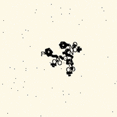 Cc1cc(C[C@H]2CN(C(=O)OC(C)(C)C)C[C@@H]2OCCN(CCc2cccc(F)c2)C(=O)OC(C)(C)C)nc(N(Cc2ccccc2)C(=O)OC(C)(C)C)c1